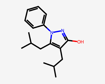 CC(C)Cc1c(O)nn(-c2ccccc2)c1CC(C)C